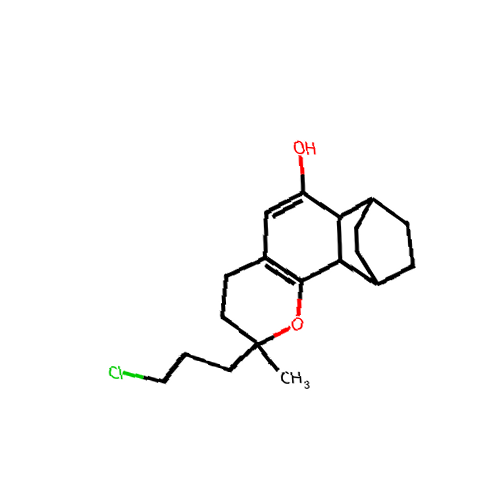 CC1(CCCCl)CCC2=C(O1)C1C3CCC(CC3)C1C(O)=C2